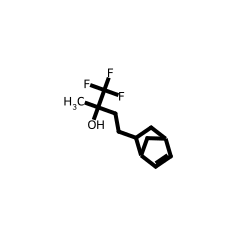 CC(O)(CCC1CC2C=CC1C2)C(F)(F)F